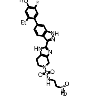 CCc1cc(O)c(F)cc1-c1ccc2c(-c3nc4c([nH]3)CCN(S(=O)(=O)NCC[SH](=O)=O)C4)n[nH]c2c1